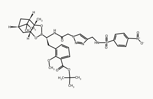 COc1c(C[C@H](NC(=O)Cn2cc(CNS(=O)(=O)c3ccc([N+](=O)[O-])cc3)nn2)B2O[C@@H]3C[C@@H]4C[C@@H](C4(C)C)[C@]3(C)O2)cccc1C(=O)OC(C)(C)C